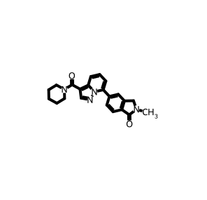 CN1Cc2cc(-c3cccc4c(C(=O)N5CCCCC5)cnn34)ccc2C1=O